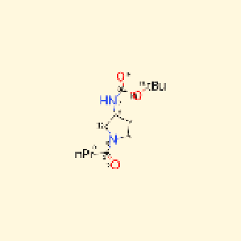 CCCC(=O)N1CCC(NC(=O)OC(C)(C)C)C1